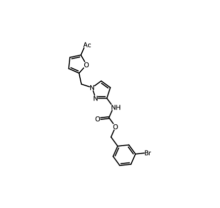 CC(=O)c1ccc(Cn2ccc(NC(=O)OCc3cccc(Br)c3)n2)o1